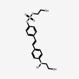 CCN(CCO)c1ccc(/C=C/c2ccc(OS(=O)(=O)OCCO)cc2)cc1